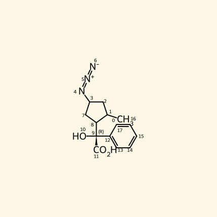 CC1CC(N=[N+]=[N-])CC1[C@](O)(C(=O)O)c1ccccc1